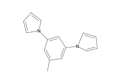 Cc1cc(-n2cccc2)cc(-n2cccc2)c1